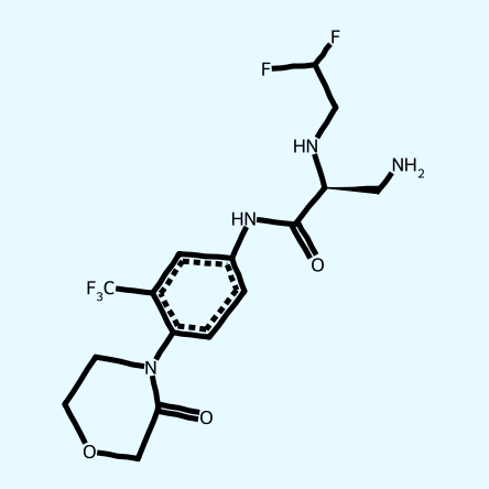 NC[C@H](NCC(F)F)C(=O)Nc1ccc(N2CCOCC2=O)c(C(F)(F)F)c1